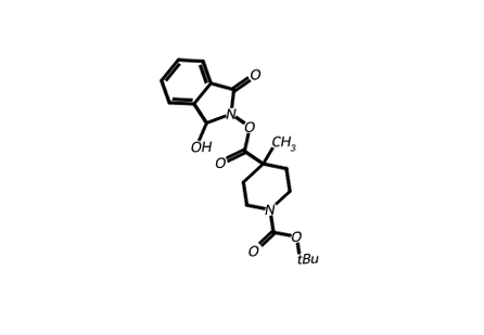 CC(C)(C)OC(=O)N1CCC(C)(C(=O)ON2C(=O)c3ccccc3C2O)CC1